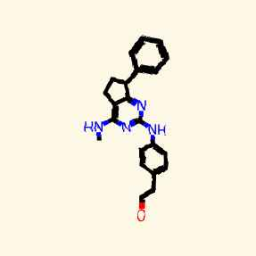 CNc1nc(Nc2ccc(CC=O)cc2)nc2c1CCC2c1ccccc1